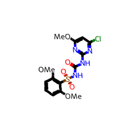 COc1cc(Cl)nc(NC(=O)NS(=O)(=O)c2c(OC)cccc2OC)n1